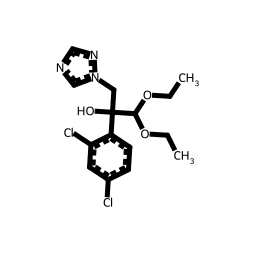 CCOC(OCC)C(O)(Cn1cncn1)c1ccc(Cl)cc1Cl